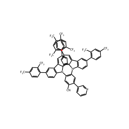 N#Cc1cc(-n2c3ccc(-c4ccc(C(F)(F)F)cc4C(F)(F)F)cc3c3cc(-c4ccc(C(F)(F)F)cc4C(F)(F)F)ccc32)c(-n2c3ccc(-c4ccc(C(F)(F)F)cc4C(F)(F)F)cc3c3cc(-c4ccc(C(F)(F)F)cc4C(F)(F)F)ccc32)cc1-c1cccnc1